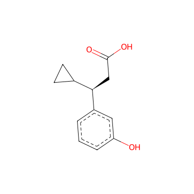 O=C(O)C[C@@H](c1cccc(O)c1)C1CC1